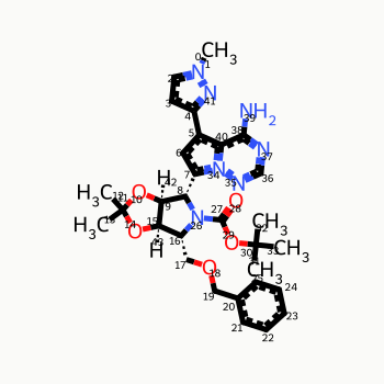 Cn1ccc(-c2cc([C@H]3[C@@H]4OC(C)(C)O[C@@H]4[C@@H](COCc4ccccc4)N3C(=O)OC(C)(C)C)n3ncnc(N)c23)n1